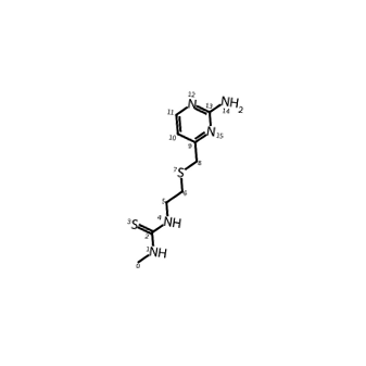 CNC(=S)NCCSCc1ccnc(N)n1